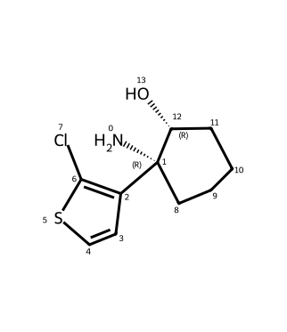 N[C@@]1(c2ccsc2Cl)CCCC[C@H]1O